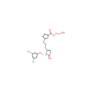 O=C(OCCO)c1ccc(CCCC2=CC[C@@H](O)[C@@H]2COc2cc(Cl)cc(Cl)c2)s1